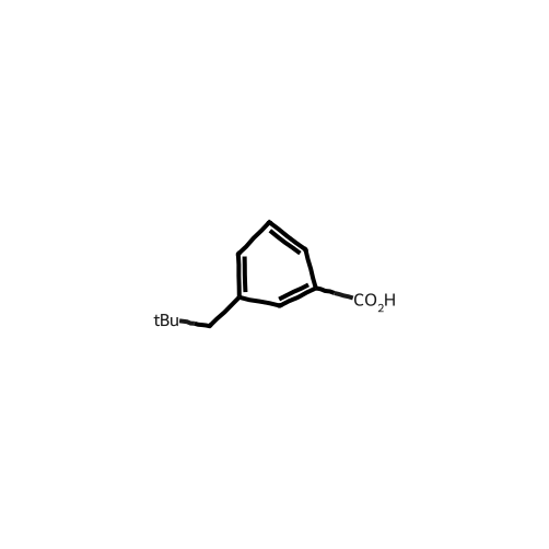 CC(C)(C)Cc1cccc(C(=O)O)c1